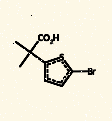 CC(C)(C(=O)O)c1ccc(Br)s1